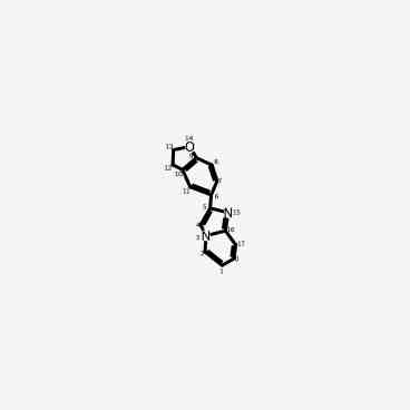 c1ccn2cc(-c3ccc4c(c3)CCO4)nc2c1